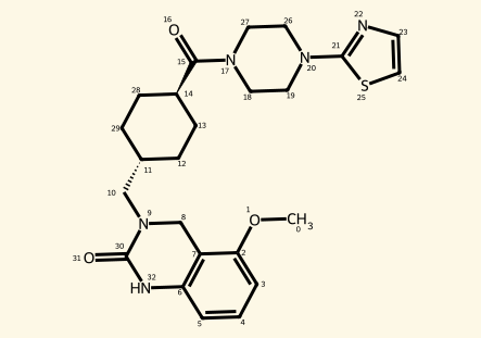 COc1cccc2c1CN(C[C@H]1CC[C@H](C(=O)N3CCN(c4nccs4)CC3)CC1)C(=O)N2